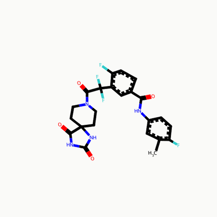 Cc1cc(NC(=O)c2ccc(F)c(C(F)(F)C(=O)N3CCC4(CC3)NC(=O)NC4=O)c2)ccc1F